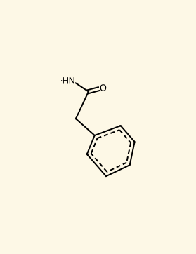 [NH]C(=O)Cc1ccccc1